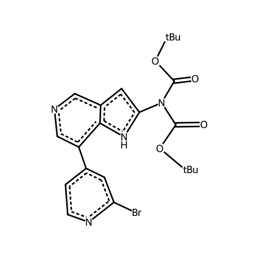 CC(C)(C)OC(=O)N(C(=O)OC(C)(C)C)c1cc2cncc(-c3ccnc(Br)c3)c2[nH]1